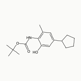 Cc1cc(C2CCCC2)cc(O)c1NC(=O)OC(C)(C)C